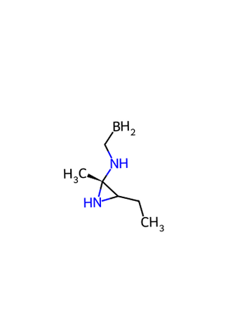 BCN[C@@]1(C)NC1CC